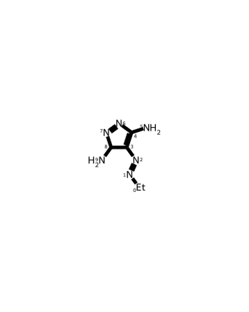 CCN=NC1=C(N)N=NC1N